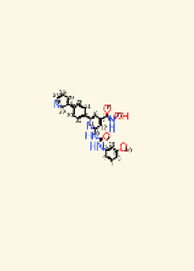 COc1cccc(NC(=O)Nc2cc(C(=O)NO)cc(-c3ccc(-c4cccnc4)cc3)n2)c1